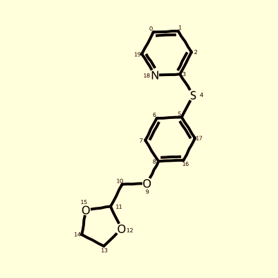 c1ccc(Sc2ccc(OCC3OCCO3)cc2)nc1